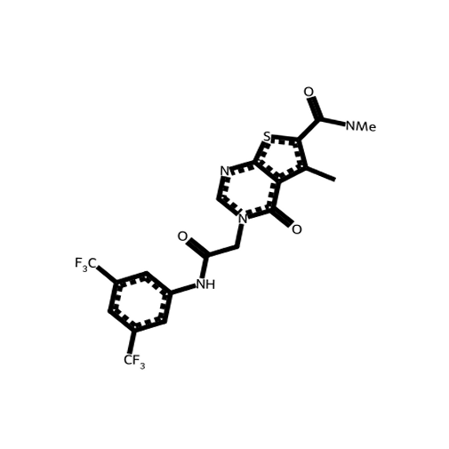 CNC(=O)c1sc2ncn(CC(=O)Nc3cc(C(F)(F)F)cc(C(F)(F)F)c3)c(=O)c2c1C